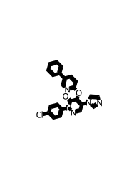 O=c1c(Oc2ccc(-c3ccccc3)cn2)c(-n2ccnc2)cnn1-c1ccc(Cl)cc1